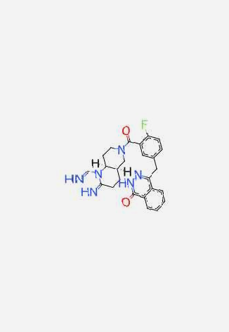 N=CN1C(=N)CC[C@@H]2CN(C(=O)c3cc(Cc4n[nH]c(=O)c5ccccc45)ccc3F)CC[C@@H]21